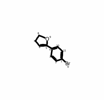 Brc1ccc(C2=CCCO2)cc1